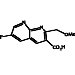 COCc1nc2ncc(F)cc2cc1C(=O)O